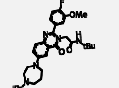 COc1cc(-c2nc3ccc(N4CCCN(C(C)C)CC4)cc3c(=O)n2CC(=O)NC(C)(C)C)ccc1F